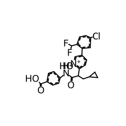 O=C(O)c1ccc(NC(=O)C(CC2CC2)c2ccc(-c3cc(Cl)ccc3C(F)F)c[n+]2O)cc1